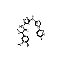 COc1cc(C(OC)C(=O)Nc2nnc(N[C@@H]3CCN(c4ccc(C)nn4)C3)s2)ccc1F